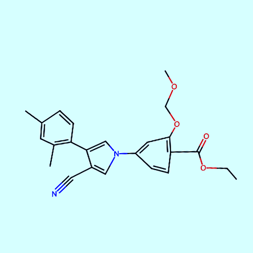 CCOC(=O)c1ccc(-n2cc(C#N)c(-c3ccc(C)cc3C)c2)cc1OCOC